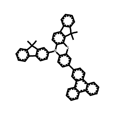 CC1(C)c2ccccc2-c2ccc(N3c4ccc(-c5ccc6c7ccccc7c7ccccc7c6c5)cc4Sc4c3ccc3c4C(C)(C)c4ccccc4-3)cc21